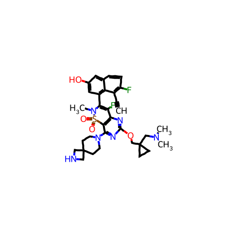 C#Cc1c(F)ccc2cc(O)cc(C3=C(F)c4nc(OCC5(CN(C)C)CC5)nc(N5CCC6(CC5)CNC6)c4S(=O)(=O)N3C)c12